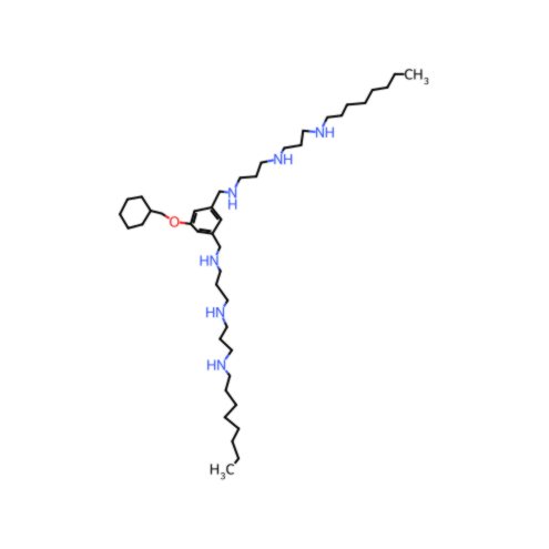 CCCCCCCCNCCCNCCCNCc1cc(CNCCCNCCCNCCCCCCCC)cc(OCC2CCCCC2)c1